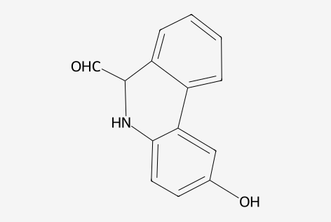 O=CC1Nc2ccc(O)cc2-c2ccccc21